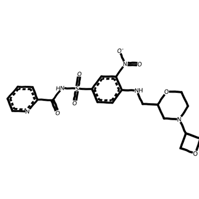 O=C(NS(=O)(=O)c1ccc(NCC2CN(C3COC3)CCO2)c([N+](=O)[O-])c1)c1ccccn1